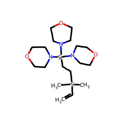 C=C[Si](C)(C)CC[Si](N1CCOCC1)(N1CCOCC1)N1CCOCC1